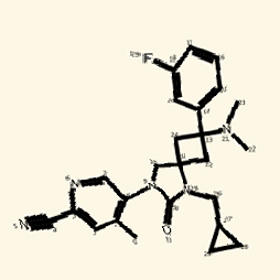 Cc1cc(C#N)ncc1N1CC2(CC(c3cccc(F)c3)(N(C)C)C2)N(CC2CC2)C1=O